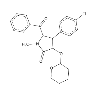 CN1C(=O)C(OC2CCCCO2)C(c2ccc(Cl)cc2)C1C(=O)c1ccccc1